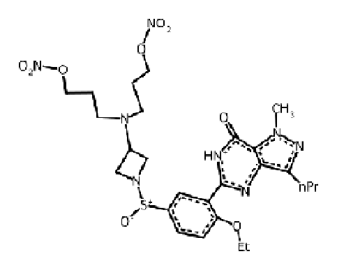 CCCc1nn(C)c2c(=O)[nH]c(-c3cc([S+]([O-])N4CC(N(CCCO[N+](=O)[O-])CCCO[N+](=O)[O-])C4)ccc3OCC)nc12